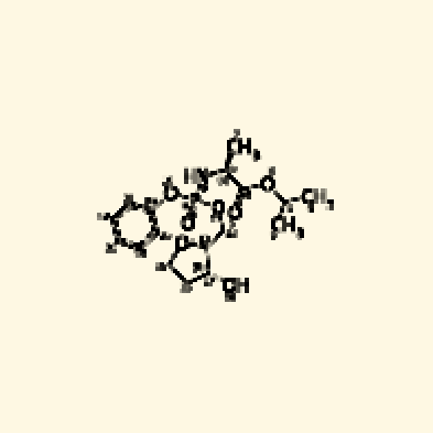 CC(C)OC(=O)[C@H](C)NP(=O)(OCC1OCC[C@H]1O)Oc1ccccc1